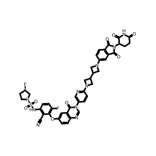 N#Cc1c(NS(=O)(=O)N2CC[C@@H](F)C2)ccc(F)c1Oc1ccc2ncn(-c3ccc(N4CC(C5CN(c6ccc7c(c6)C(=O)N(C6CCC(=O)NC6=O)C7=O)C5)C4)nc3)c(=O)c2c1